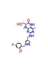 COc1cc(F)ccc1Cn1cc(CNc2nc(C)c3c(n2)N(C)[C@@H]([C@@H](C)O)C(=O)N3)cn1